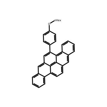 CCCCCCOc1ccc(-c2cc3cc4ccccc4c4ccc5cc6ccccc6c2c5c34)cc1